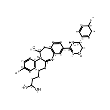 OC(O)CCCCC1=Nc2cc(C3=NOC[C@@H](C4=CCC(F)C=C4)N3)ccc2CC(O)N1c1ccc(F)cc1